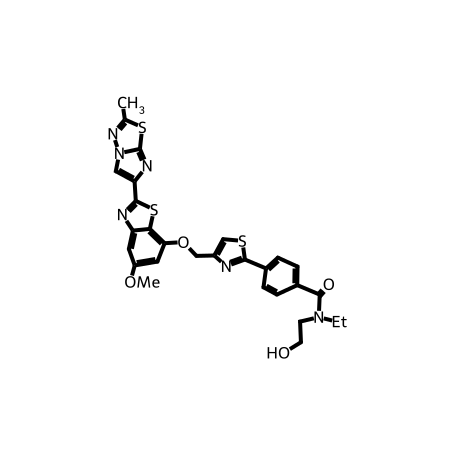 CCN(CCO)C(=O)c1ccc(-c2nc(COc3cc(OC)cc4nc(-c5cn6nc(C)sc6n5)sc34)cs2)cc1